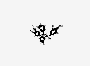 OB(c1ccc(F)c(F)c1)C(OC(B(O)c1ccc(F)c(F)c1)c1ccccc1)c1ccccc1